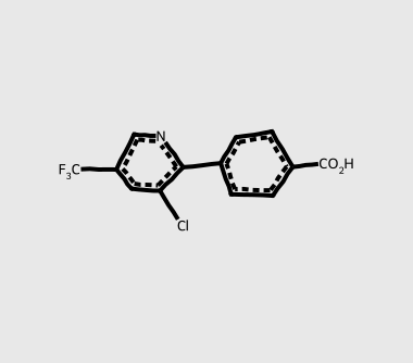 O=C(O)c1ccc(-c2ncc(C(F)(F)F)cc2Cl)cc1